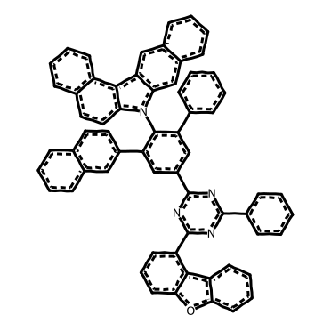 c1ccc(-c2nc(-c3cc(-c4ccccc4)c(-n4c5cc6ccccc6cc5c5c6ccccc6ccc54)c(-c4ccc5ccccc5c4)c3)nc(-c3cccc4oc5ccccc5c34)n2)cc1